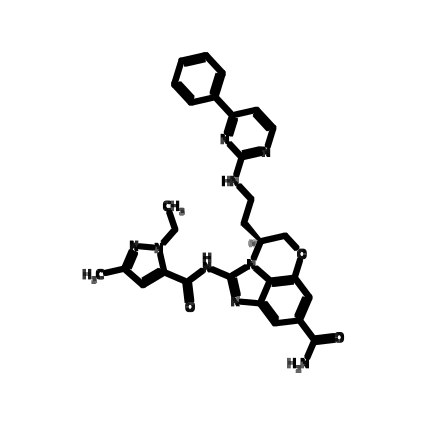 CCn1nc(C)cc1C(=O)Nc1nc2cc(C(N)=O)cc3c2n1[C@@H](CCNc1nccc(-c2ccccc2)n1)CO3